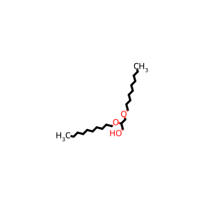 CCCCCCCCCCOCC(CO)OCCCCCCCCCC